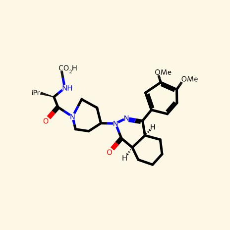 COc1ccc(C2=NN(C3CCN(C(=O)[C@H](NC(=O)O)C(C)C)CC3)C(=O)[C@@H]3CCCC[C@H]23)cc1OC